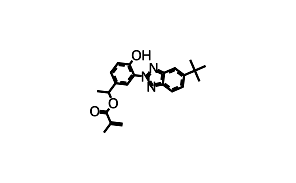 C=C(C)C(=O)OC(C)c1ccc(O)c(-n2nc3ccc(C(C)(C)C)cc3n2)c1